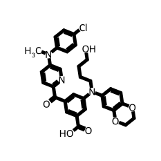 CN(c1ccc(Cl)cc1)c1ccc(C(=O)c2cc(C(=O)O)cc(N(CCCCO)c3ccc4c(c3)OCCO4)c2)nc1